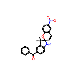 CC1(C)c2cc(C(=O)c3ccccc3)ccc2NC12C=Cc1cc([N+](=O)[O-])ccc1O2